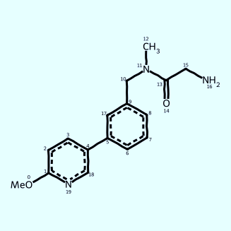 COc1ccc(-c2cccc(CN(C)C(=O)CN)c2)cn1